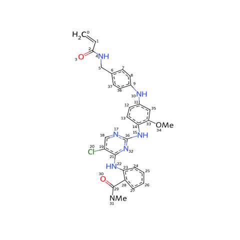 C=CC(=O)NCc1ccc(Nc2ccc(Nc3ncc(Cl)c(Nc4ccccc4C(=O)NC)n3)c(OC)c2)cc1